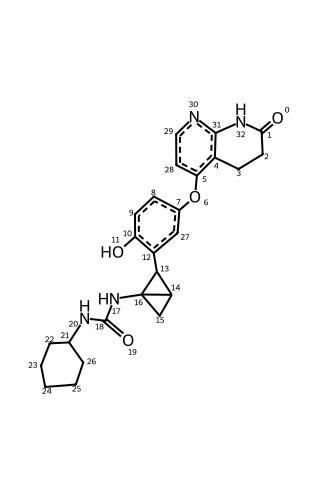 O=C1CCc2c(Oc3ccc(O)c(C4C5CC54NC(=O)NC4CCCCC4)c3)ccnc2N1